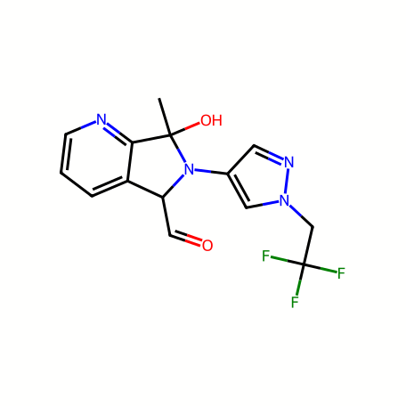 CC1(O)c2ncccc2C(C=O)N1c1cnn(CC(F)(F)F)c1